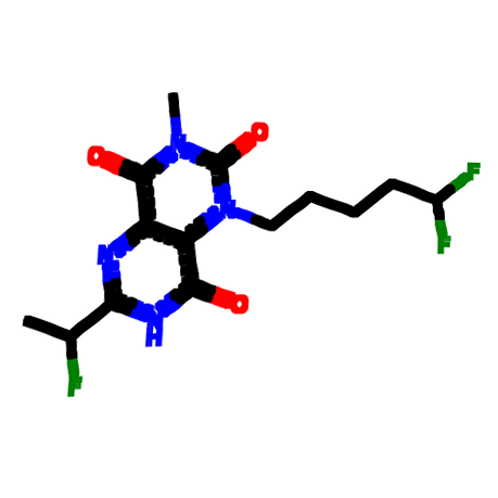 CC(F)c1nc2c(=O)n(C)c(=O)n(CCCCC(F)F)c2c(=O)[nH]1